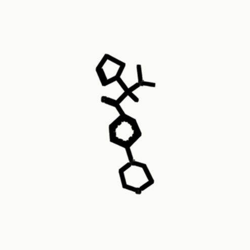 CN(C)C(C)(C(=O)c1ccc(N2CCOCC2)cc1)C1C=CCC1